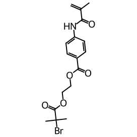 C=C(C)C(=O)Nc1ccc(C(=O)OCCOC(=O)C(C)(C)Br)cc1